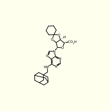 O=C(O)[C@H]1O[C@@H](n2cnc3c(NCC45CC6CC(CC(C6)C4)C5)ncnc32)C2OC3(CCCCC3)O[C@H]21